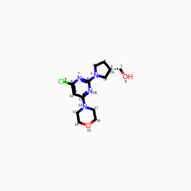 OC[C@H]1CCN(c2nc(Cl)cc(N3CCOCC3)n2)C1